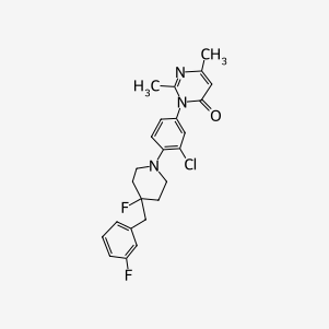 Cc1cc(=O)n(-c2ccc(N3CCC(F)(Cc4cccc(F)c4)CC3)c(Cl)c2)c(C)n1